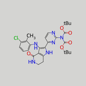 Cc1c(Cl)cccc1Nc1c(-c2ccnc(N(C(=O)OC(C)(C)C)C(=O)OC(C)(C)C)n2)[nH]c2c1C(=O)NCC2